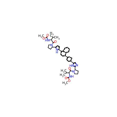 COC(=O)NC(C(=O)N1CCCC1c1ccc(-c2ccc(-c3ccc(-c4cnc(C5CCCN5C(=O)C(NC(=O)OC)C(C)C)[nH]4)cc3)c3ccccc23)[nH]1)C(C)C